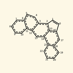 C1=Cc2c3ccc4ccccc4c3cc3c2c1cc1ccccc13